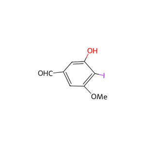 COc1cc(C=O)cc(O)c1I